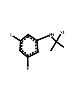 CCC(C)(C)Pc1cc(F)cc(F)c1